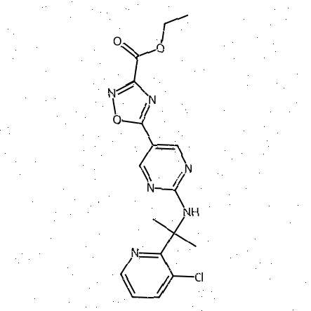 CCOC(=O)c1noc(-c2cnc(NC(C)(C)c3ncccc3Cl)nc2)n1